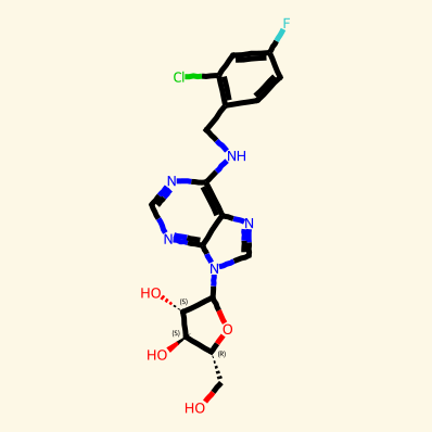 OC[C@H]1OC(n2cnc3c(NCc4ccc(F)cc4Cl)ncnc32)[C@@H](O)[C@@H]1O